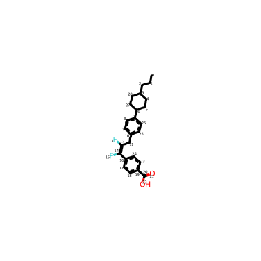 CCCC1CCC(c2ccc(C/C(F)=C(/F)c3ccc(C(=O)O)cc3)cc2)CC1